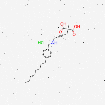 CCCCCCCCc1ccc(CNCC#CCC(C)(C(=O)O)C(=O)O)cc1.Cl